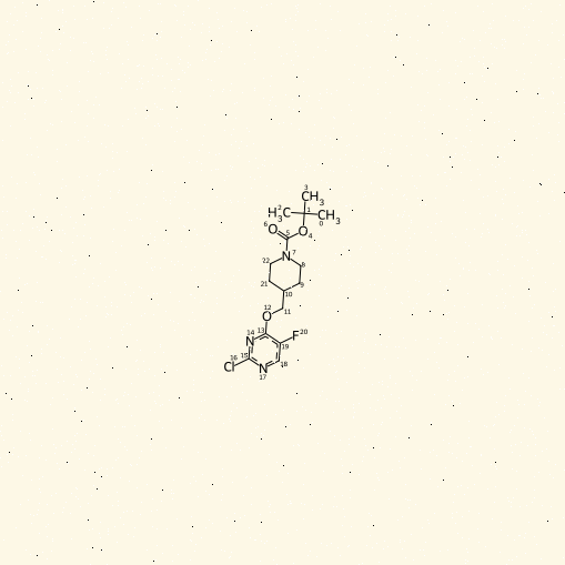 CC(C)(C)OC(=O)N1CCC(COc2nc(Cl)ncc2F)CC1